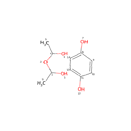 CC(O)OC(C)O.Oc1ccc(O)cc1